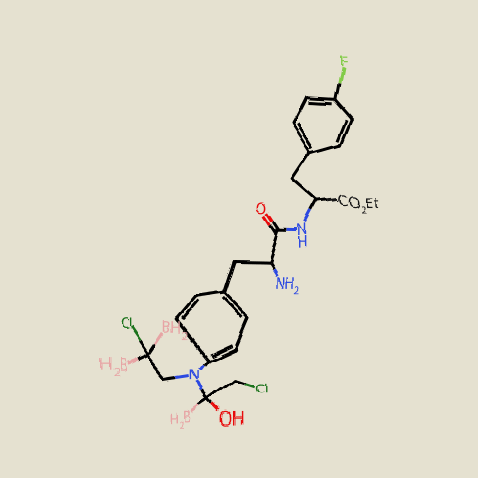 BC(B)(Cl)CN(c1ccc(CC(N)C(=O)NC(Cc2ccc(F)cc2)C(=O)OCC)cc1)C(B)(O)CCl